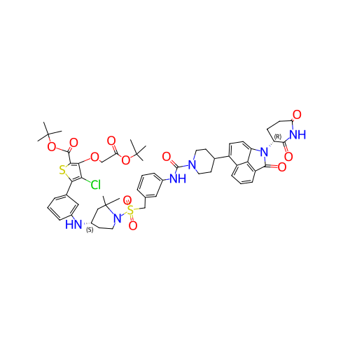 CC(C)(C)OC(=O)COc1c(C(=O)OC(C)(C)C)sc(-c2cccc(N[C@H]3CCN(S(=O)(=O)Cc4cccc(NC(=O)N5CCC(c6ccc7c8c(cccc68)C(=O)N7[C@@H]6CCC(=O)NC6=O)CC5)c4)C(C)(C)C3)c2)c1Cl